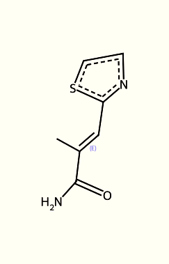 C/C(=C\c1nccs1)C(N)=O